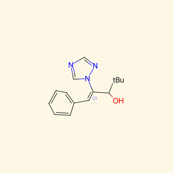 CC(C)(C)C(O)/C(=C/c1ccccc1)n1cncn1